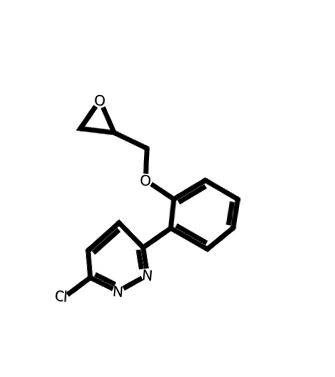 Clc1ccc(-c2ccccc2OCC2CO2)nn1